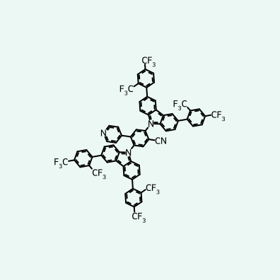 N#Cc1cc(-n2c3ccc(-c4ccc(C(F)(F)F)cc4C(F)(F)F)cc3c3cc(-c4ccc(C(F)(F)F)cc4C(F)(F)F)ccc32)c(-c2ccncc2)cc1-n1c2ccc(-c3ccc(C(F)(F)F)cc3C(F)(F)F)cc2c2cc(-c3ccc(C(F)(F)F)cc3C(F)(F)F)ccc21